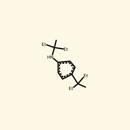 CCC(C)(CC)Nc1ccc(C(C)(CC)CC)cc1